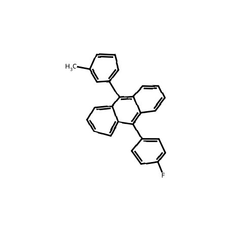 Cc1cccc(-c2c3ccccc3c(-c3ccc(F)cc3)c3ccccc23)c1